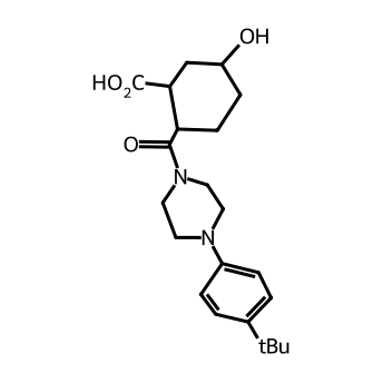 CC(C)(C)c1ccc(N2CCN(C(=O)C3CCC(O)CC3C(=O)O)CC2)cc1